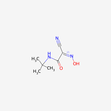 CC(C)(C)NC(=O)/C(C#N)=N\O